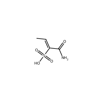 CC=C(C(N)=O)S(=O)(=O)O